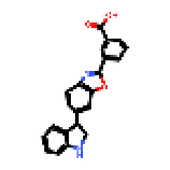 O=C(O)c1cccc(-c2nc3ccc(C4CNc5ccccc54)cc3o2)c1